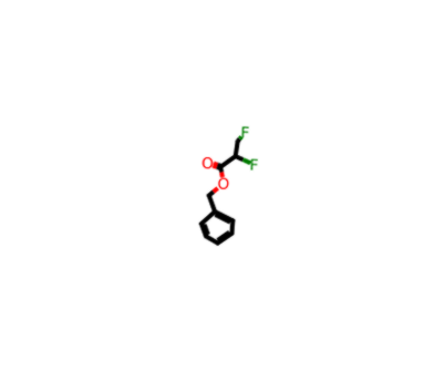 O=C(OCc1ccccc1)C(F)CF